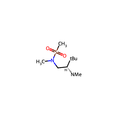 CN[C@H](CN(C)S(C)(=O)=O)C(C)(C)C